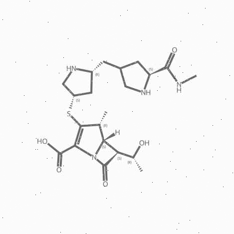 CNC(=O)[C@@H]1CC(C[C@@H]2C[C@H](SC3=C(C(=O)O)N4C(=O)[C@H]([C@@H](C)O)[C@H]4[C@H]3C)CN2)CN1